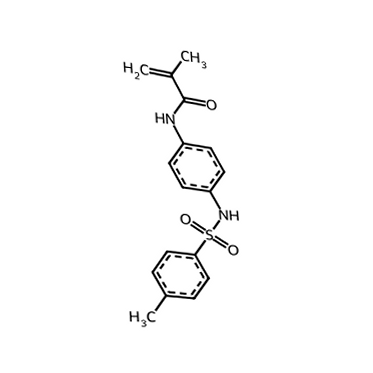 C=C(C)C(=O)Nc1ccc(NS(=O)(=O)c2ccc(C)cc2)cc1